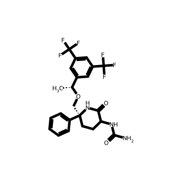 C[C@@H](OC[C@@]1(c2ccccc2)CCC(NC(N)=O)C(=O)N1)c1cc(C(F)(F)F)cc(C(F)(F)F)c1